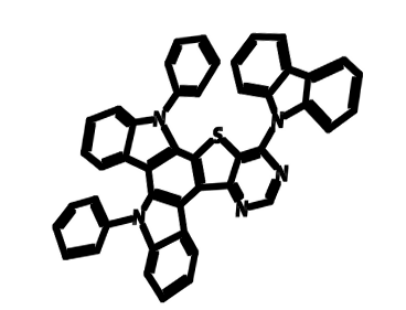 c1ccc(-n2c3ccccc3c3c2c2sc4c(-n5c6ccccc6c6ccccc65)ncnc4c2c2c4ccccc4n(-c4ccccc4)c23)cc1